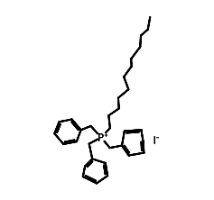 CCCCCCCCCCCC[P+](Cc1ccccc1)(Cc1ccccc1)Cc1ccccc1.[I-]